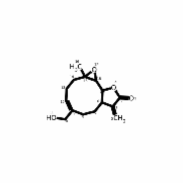 C=C1C(=O)OC2C1CC/C(CO)=C\CCC1(C)OC21